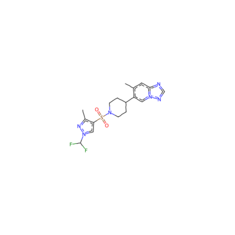 Cc1cc2ncnn2cc1C1CCN(S(=O)(=O)c2cn(C(F)F)nc2C)CC1